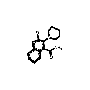 CCc1cc2ccccc2c(C(N)=O)c1N1CCCCC1